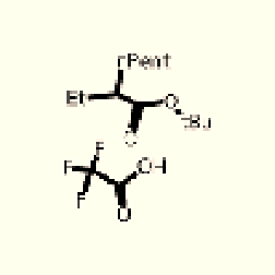 CCCCCC(CC)C(=O)OC(C)(C)C.O=C(O)C(F)(F)F